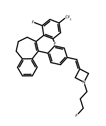 FCCCN1CC(=Cc2ccc(C3=C(c4c(F)cc(C(F)(F)F)cc4F)CCCc4ccccc43)cc2)C1